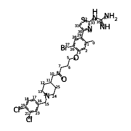 Cc1cc(OCCCC(=O)CC2CCN(Cc3ccc(Cl)c(Cl)c3)CC2)c(Br)cc1-c1csc(NC(=N)N)n1